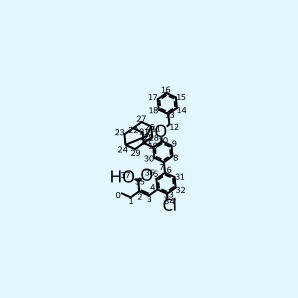 CCC(=Cc1cc(-c2ccc(OCc3ccccc3)c(C34CC5CC(CC(C5)C3)C4)c2)ccc1Cl)C(=O)O